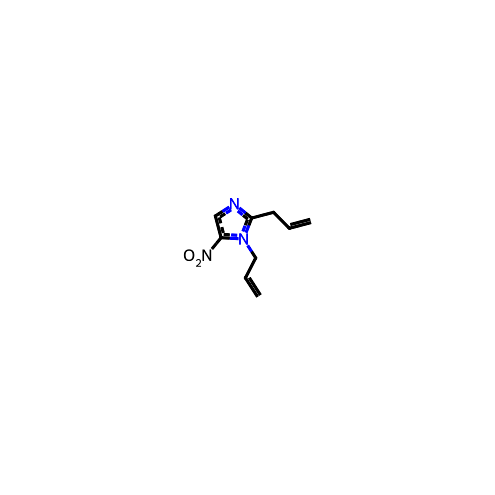 C=CCc1ncc([N+](=O)[O-])n1CC=C